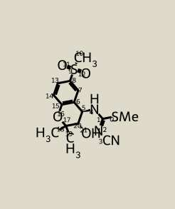 CSC(=NC#N)N[C@@H]1c2cc(S(C)(=O)=O)ccc2OC(C)(C)[C@H]1O